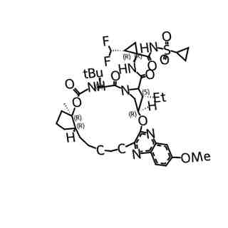 CC[C@H]1C(C(=O)N[C@]2(C(=O)NS(=O)(=O)C3CC3)C[C@H]2C(F)F)N2C[C@@H]1Oc1nc3cc(OC)ccc3nc1CCCCC[C@@H]1CCC[C@@]1(C)OC(=O)N[C@@H](C(C)(C)C)C2=O